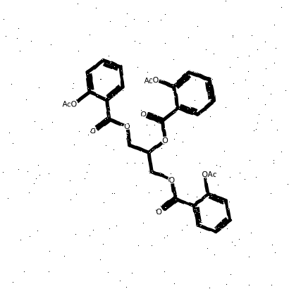 CC(=O)Oc1ccccc1C(=O)OCC(COC(=O)c1ccccc1OC(C)=O)OC(=O)c1ccccc1OC(C)=O